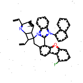 C=CC1=NC2C(C=C)C3(Cc4ccc5c(oc6cccc(F)c65)c4-c4n(-c5cccc6ccccc56)c5ccccc5[n+]43)C2c2ccccc21